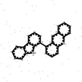 c1ccc2nc3cccc(-c4cccc5c4[nH]c4ccccc45)c3cc2c1